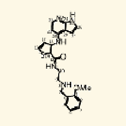 COc1ccccc1CNCCNC(=O)C1SC=CC1Nc1ccnc2[nH]ccc12